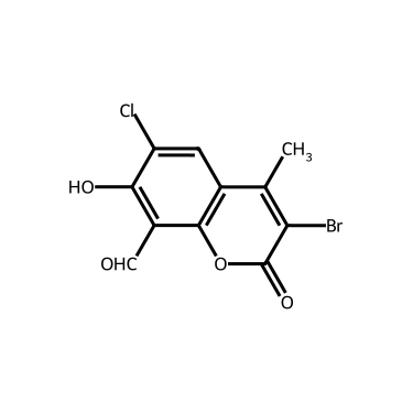 Cc1c(Br)c(=O)oc2c(C=O)c(O)c(Cl)cc12